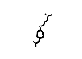 CC(C)=Cc1ccc(OCCCN(C)C)cc1